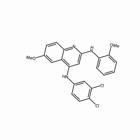 COc1ccc2nc(Nc3ccccc3OC)cc(Nc3ccc(Cl)c(Cl)c3)c2c1